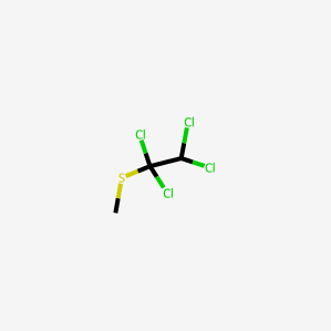 CSC(Cl)(Cl)C(Cl)Cl